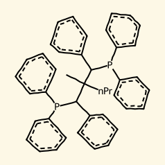 CCCC(C)(C(c1ccccc1)P(c1ccccc1)c1ccccc1)C(c1ccccc1)P(c1ccccc1)c1ccccc1